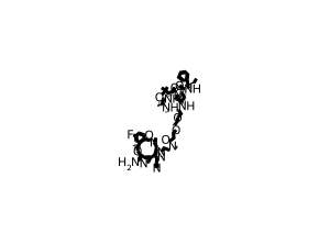 CC[C@@H](NC(=O)[C@@H]1C[C@H](NCCOCCOCCC(=O)N(C)CCn2nc(C#N)c3c2CN(C)C(=O)c2ccc(F)cc2[C@@H](C)Oc2cc-3cnc2N)CN1C(=O)[C@@H](NC(=O)[C@H](C)NC)C(C)(C)C)c1ccccc1